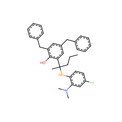 CCCC(C)(Pc1ccc(F)cc1N(C)C)c1cc(Cc2ccccc2)cc(Cc2ccccc2)c1O